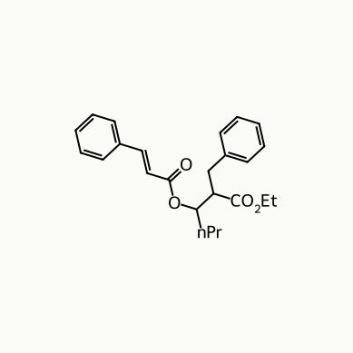 CCCC(OC(=O)/C=C/c1ccccc1)C(Cc1ccccc1)C(=O)OCC